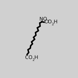 O=C(O)CCCCCCCCCCCCCCCC(CC(=O)O)[N+](=O)[O-]